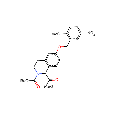 COC(=O)C1c2ccc(OCc3cc([N+](=O)[O-])ccc3OC)cc2CCN1C(=O)OCC(C)C